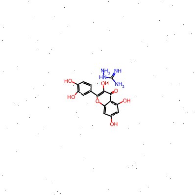 N=C(N)NN.O=c1c(O)c(-c2ccc(O)c(O)c2)oc2cc(O)cc(O)c12